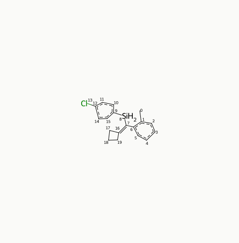 Cc1ccccc1C([SiH2]c1ccc(Cl)cc1)=C1CCC1